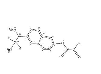 C=C(C)C(=O)Oc1ccc2cc(C(OC)C(C)(C)O)ccc2c1